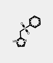 O=S(=O)(Cc1ncc[nH]1)c1ccccc1